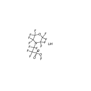 O=S(=O)(OF)C(F)(F)C(F)(F)N1C(F)(F)C(F)(F)OC(F)(F)C1(F)F.[LiH]